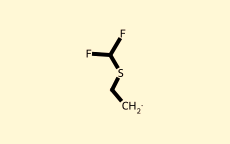 [CH2]CSC(F)F